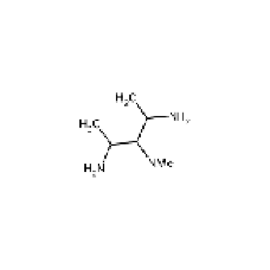 CNC(C(C)N)C(C)N